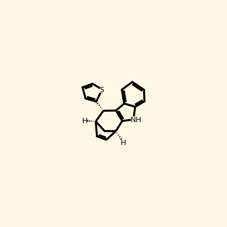 C1=C[C@H]2C[C@@H]1[C@H](c1cccs1)c1c2[nH]c2ccccc12